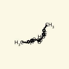 CCCCCC1CCC(c2ccc(OCCCO[PH](=O)OCCCOc3ccc(C4CCC(CCCCC)CC4)c(F)c3F)c(F)c2F)CC1